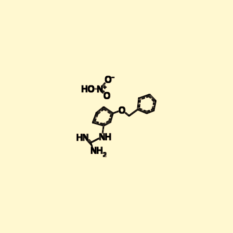 N=C(N)Nc1cccc(OCc2ccccc2)c1.O=[N+]([O-])O